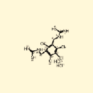 Cl.Cl.N=C(S)NCc1c(Cl)c(Cl)c(Cl)c(CNC(=N)S)c1Cl